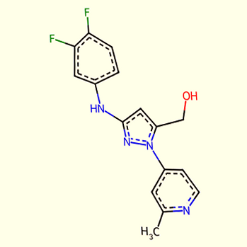 Cc1cc(-n2nc(Nc3ccc(F)c(F)c3)cc2CO)ccn1